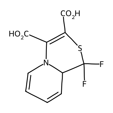 O=C(O)C1=C(C(=O)O)N2C=CC=CC2C(F)(F)S1